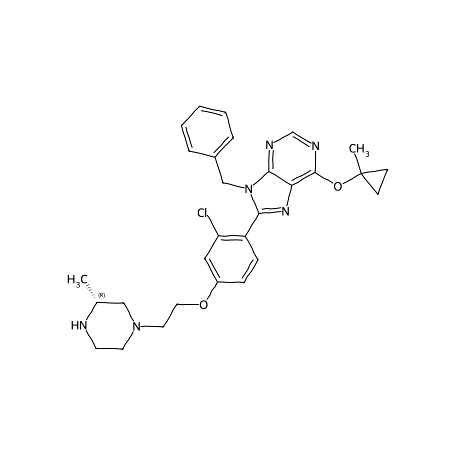 C[C@@H]1CN(CCOc2ccc(-c3nc4c(OC5(C)CC5)ncnc4n3Cc3ccccc3)c(Cl)c2)CCN1